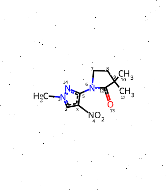 Cn1cc([N+](=O)[O-])c(N2CCC(C)(C)C2=O)n1